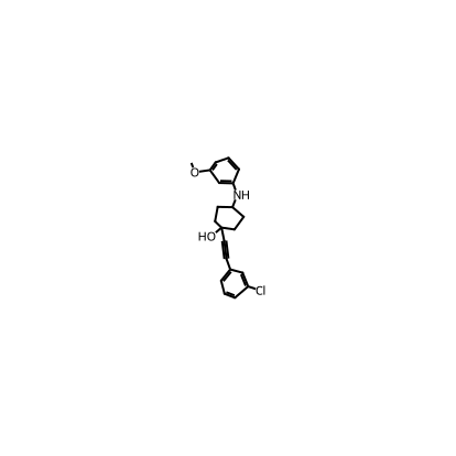 COc1cccc(NC2CCC(O)(C#Cc3cccc(Cl)c3)CC2)c1